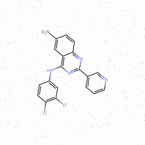 O=[N+]([O-])c1ccc2nc(-c3cccnc3)nc(Nc3ccc(Cl)c(Cl)c3)c2c1